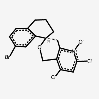 [O-][n+]1c(Cl)cc(Cl)c2c1C[C@]1(CCCc3ccc(Br)cc31)OC2